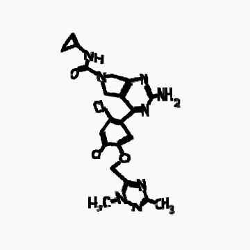 Cc1nc(COc2cc(-c3nc(N)nc4c3CN(C(=O)NC3CC3)C4)c(Cl)cc2Cl)n(C)n1